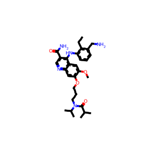 CCc1c(CN)cccc1Nc1c(C(N)=O)cnc2cc(OCCCN(C(=O)C(C)C)C(C)C)c(OC)cc12